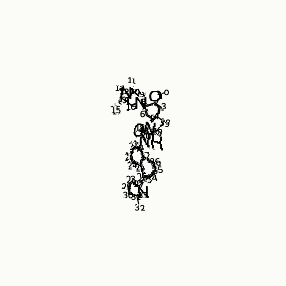 COc1cc2c(cc1N1C[C@@H](C)N(C)[C@@H](C)C1)N(C(=O)Nc1cccc3c(-c4cccc(C)n4)cccc13)CC2